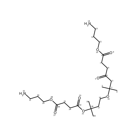 CC(C)(CC(=O)CCC(=O)OCCCN)OCCC(C)(C)OC(=O)CCC(=O)OCCCN